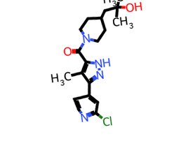 Cc1c(-c2ccnc(Cl)c2)n[nH]c1C(=O)N1CCC(CC(C)(C)O)CC1